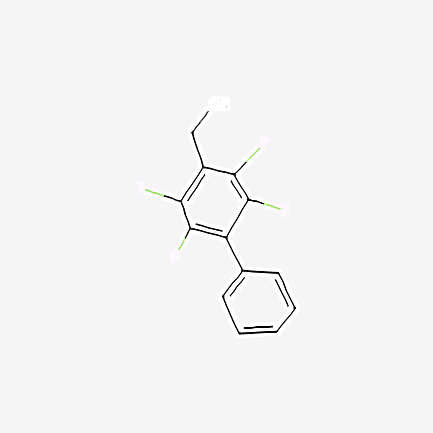 N#CCc1c(F)c(F)c(-c2ccccc2)c(F)c1F